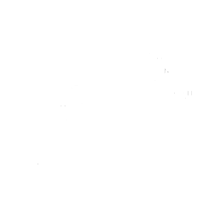 Cc1oc(-c2ccc(C(F)(F)F)cc2)cc1COc1ccc(C(CC(=O)O)c2ccon2)cc1